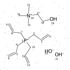 C=CC[P+](CC=C)(CC=C)CC=C.C[N+](C)(C)CCO.[OH-].[OH-]